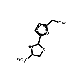 CCOC(=O)C1CSC(c2ccc(COC(C)=O)o2)N1